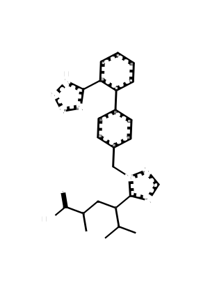 CC(CC(c1ncnn1Cc1ccc(-c2ccccc2-c2nnn[nH]2)cc1)C(C)C)C(=O)O